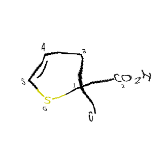 CC1(C(=O)O)CC=CS1